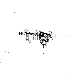 CC(=O)Cl.N=C(N)NCCCC(N)C(=O)O.NC(Cc1ccccc1)C(=O)O.O=C(O)C1CCCN1